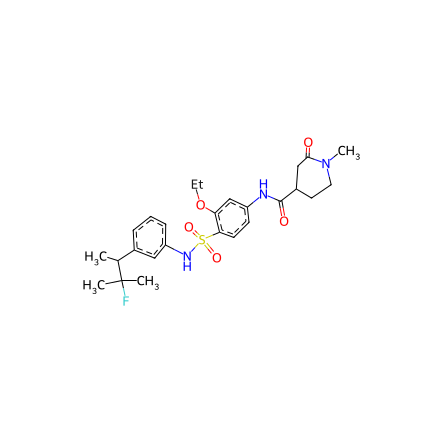 CCOc1cc(NC(=O)C2CCN(C)C(=O)C2)ccc1S(=O)(=O)Nc1cccc(C(C)C(C)(C)F)c1